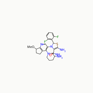 COC1CCc2c1ncc(N1C(C(N)=O)=C(N)SC1c1c(F)cccc1F)c2N1CCCC(N)C1